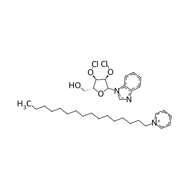 CCCCCCCCCCCCCCCC[n+]1ccccc1.OC[C@H]1OC(n2cnc3ccccc32)[C@H](OCl)[C@@H]1OCl